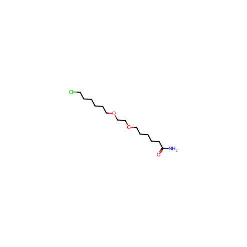 NC(=O)CCCCCOCCOCCCCCCCl